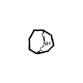 C1CC2CCCC(C1)CNC2